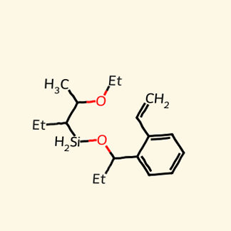 C=Cc1ccccc1C(CC)O[SiH2]C(CC)C(C)OCC